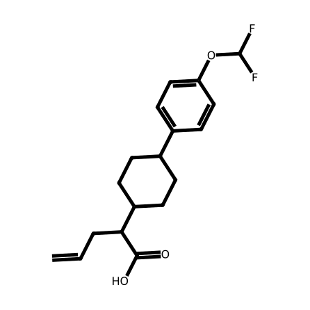 C=CCC(C(=O)O)C1CCC(c2ccc(OC(F)F)cc2)CC1